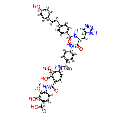 COc1c(NC(=O)c2ccc(NC(=O)c3ccc(NC(=O)[C@H](Cc4cnn[nH]4)NC(=O)c4ccc(/C=C/c5ccc(O)cc5)cc4)cc3)c(OC)c2O)ccc(C(=O)O)c1O